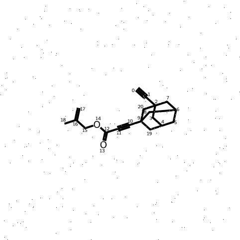 C#CC12CC3CC(C1)CC(C#CC(=O)OCC(=C)C)(C3)C2